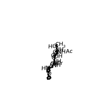 CC(=O)N[C@@H](COP(=O)(O)OCCNC(=O)[C@@H](NC(=O)Cc1c[nH]c2ccc(OCc3ccccc3)cc12)C(C)C)C(=O)NCCC(C)O